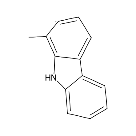 Cc1[c]ccc2c1[nH]c1ccccc12